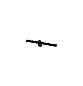 CCCCC=CC=CC=CCCCCCCCC(=O)OCCCCCCCCCCCCCC